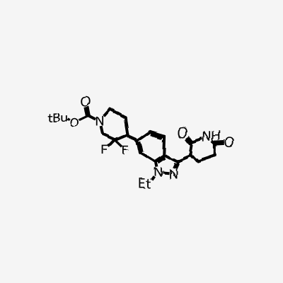 CCn1nc(C2CCC(=O)NC2=O)c2ccc(C3CCN(C(=O)OC(C)(C)C)CC3(F)F)cc21